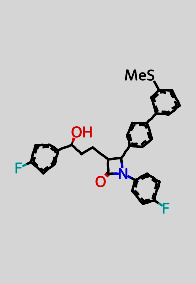 CSc1cccc(-c2ccc(C3C(CC[C@H](O)c4ccc(F)cc4)C(=O)N3c3ccc(F)cc3)cc2)c1